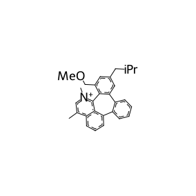 COCc1cc(CC(C)C)cc2c1-c1c3c(cccc3c(C)c[n+]1C)-c1ccccc1-2